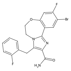 NC(=O)c1nc2n(c1Cc1ccccc1F)CCOc1cc(F)c(Br)cc1-2